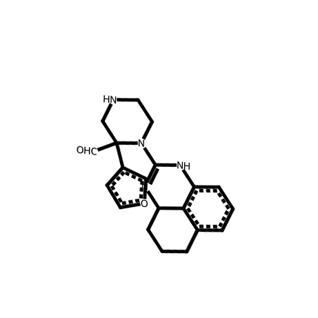 O=CC1(c2ccoc2)CNCCN1C1=NC2CCCc3cccc(c32)N1